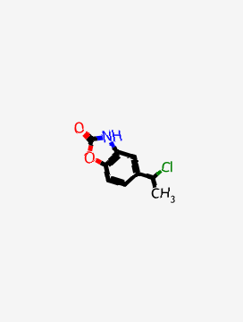 CC(Cl)c1ccc2oc(=O)[nH]c2c1